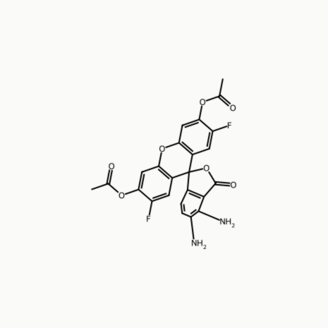 CC(=O)Oc1cc2c(cc1F)C1(OC(=O)c3c1ccc(N)c3N)c1cc(F)c(OC(C)=O)cc1O2